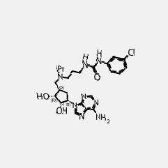 CC(C)N(CCCNC(=O)Nc1cccc(Cl)c1)C[C@H]1C[C@@H](n2cnc3c(N)ncnc32)[C@H](O)[C@@H]1O